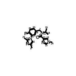 Cc1cn(-c2cc(CN(C(=O)c3cn(C)cn3)C(C)C)ccc2F)c(C)n1